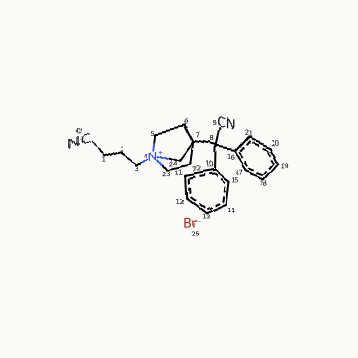 N#CCCC[N+]12CCC(C(C#N)(c3ccccc3)c3ccccc3)(CC1)C2.[Br-]